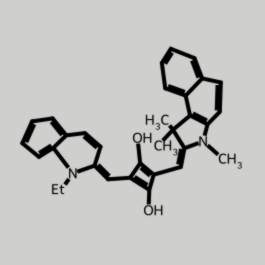 CCN1C(=CC2=C(O)C(C=C3N(C)c4ccc5ccccc5c4C3(C)C)=C2O)C=Cc2ccccc21